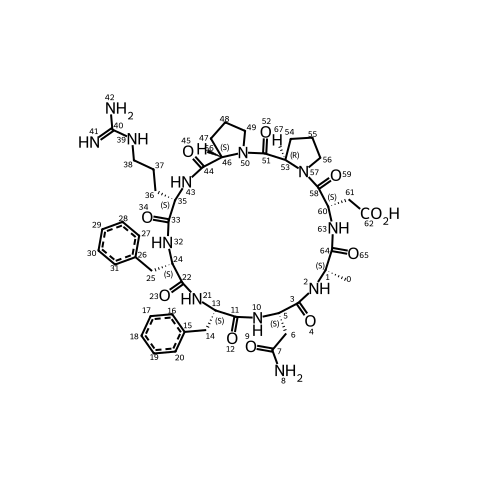 C[C@@H]1NC(=O)[C@H](CC(N)=O)NC(=O)[C@H](Cc2ccccc2)NC(=O)[C@H](Cc2ccccc2)NC(=O)[C@H](CCCNC(=N)N)NC(=O)[C@@H]2CCCN2C(=O)[C@H]2CCCN2C(=O)[C@H](CC(=O)O)NC1=O